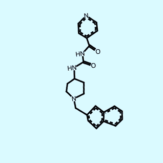 O=C(NC(=O)c1ccncc1)NC1CCN(Cc2ccc3ccccc3c2)CC1